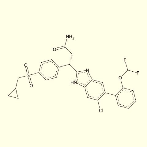 NC(=O)C[C@@H](c1ccc(S(=O)(=O)CC2CC2)cc1)c1nc2cc(-c3ccccc3OC(F)F)c(Cl)cc2[nH]1